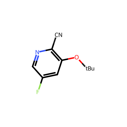 CC(C)(C)Oc1cc(F)cnc1C#N